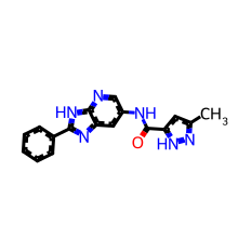 Cc1cc(C(=O)Nc2cnc3[nH]c(-c4ccccc4)nc3c2)[nH]n1